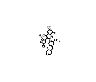 CCc1cc(F)c2nc(N3CCN(CC4CCOCC4)C[C@H]3C)c(-c3cc(C)no3)c(C)c2c1